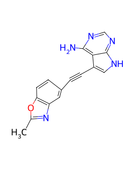 Cc1nc2cc(C#Cc3c[nH]c4ncnc(N)c34)ccc2o1